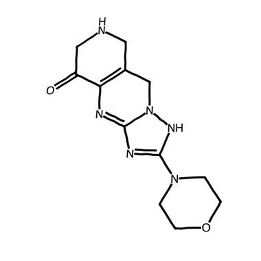 O=C1CNCC2=C1N=C1N=C(N3CCOCC3)NN1C2